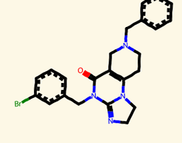 O=C1C2=C(CCN(Cc3ccccc3)C2)N2CCN=C2N1Cc1cccc(Br)c1